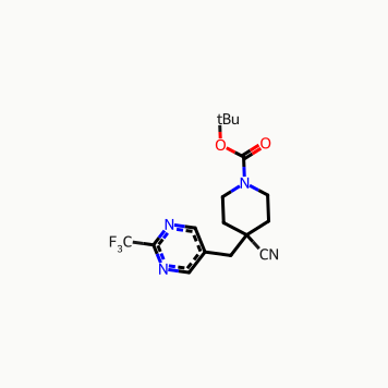 CC(C)(C)OC(=O)N1CCC(C#N)(Cc2cnc(C(F)(F)F)nc2)CC1